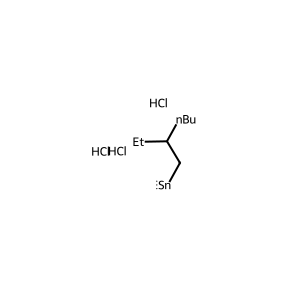 CCCCC(CC)[CH2][Sn].Cl.Cl.Cl